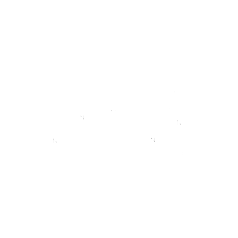 CN1CCN(c2ccc(C=C3C(=O)N(C)C(=O)N(C)C3=O)o2)CC1